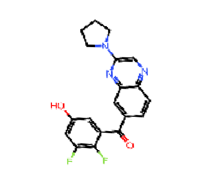 O=C(c1ccc2ncc(N3CCCC3)nc2c1)c1cc(O)cc(F)c1F